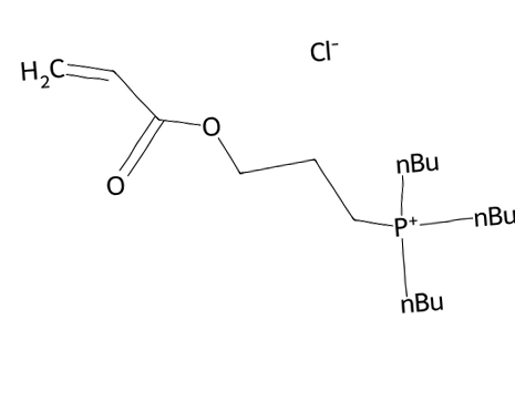 C=CC(=O)OCCC[P+](CCCC)(CCCC)CCCC.[Cl-]